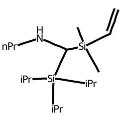 C=C[Si](C)(C)C(NCCC)[Si](C(C)C)(C(C)C)C(C)C